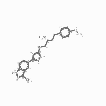 COc1ccc(CC[C@@H](N)CNc2nnc(-c3ccc4[nH]nc(C)c4c3)s2)cc1